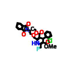 COC(=O)C1=C(CF)NC(COCCN2C(=O)c3ccccc3C2=O)=C(C(=O)OCC(Cl)(Cl)Cl)C1c1ccccc1Cl